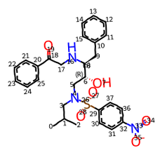 CC(C)CN(C[C@@H](O)[C@H](Cc1ccccc1)NCC(=O)c1ccccc1)S(=O)(=O)c1ccc([N+](=O)[O-])cc1